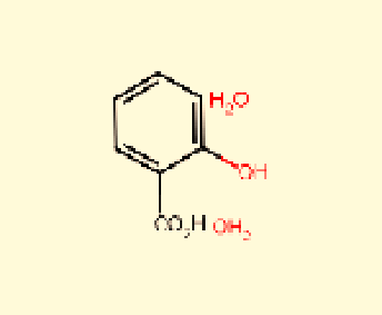 O.O.O=C(O)c1ccccc1O